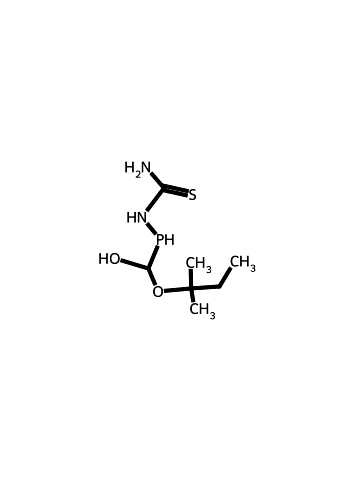 CCC(C)(C)OC(O)PNC(N)=S